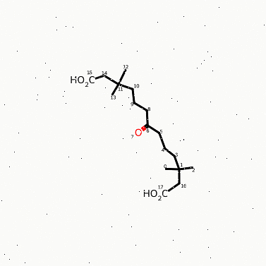 CC(C)(CCCC(=O)CCCC(C)(C)CC(=O)O)CC(=O)O